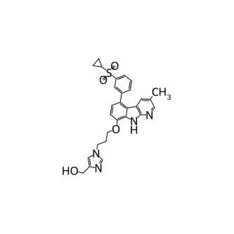 Cc1cnc2[nH]c3c(OCCCn4cnc(CO)c4)ccc(-c4cccc(S(=O)(=O)C5CC5)c4)c3c2c1